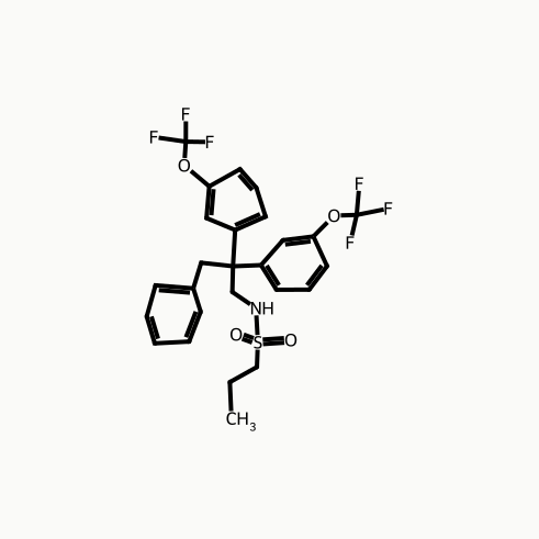 CCCS(=O)(=O)NCC(Cc1ccccc1)(c1cccc(OC(F)(F)F)c1)c1cccc(OC(F)(F)F)c1